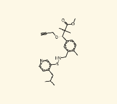 C#CCO[C@@H](c1ccc(C)c(CNSc2cnccc2CC(C)C)c1)C(C)(C)C(=O)OC